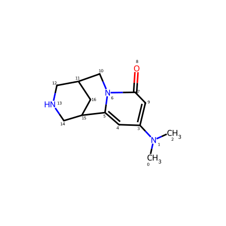 CN(C)c1cc2n(c(=O)c1)CC1CNCC2C1